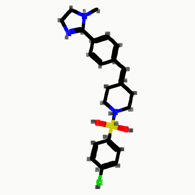 CN1CCN=C1c1ccc(C=C2CCN(S(=O)(=O)c3ccc(Cl)cc3)CC2)cc1